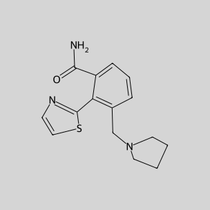 NC(=O)c1cccc(CN2CCCC2)c1-c1nccs1